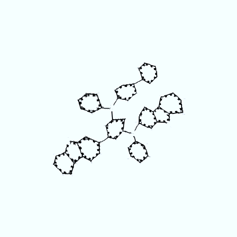 c1ccc(-c2ccc(N(c3ccccc3)c3cc(-c4ccc5c(c4)oc4ccccc45)cc(N(c4ccccc4)c4ccc5c(c4)sc4ccccc45)c3)cc2)cc1